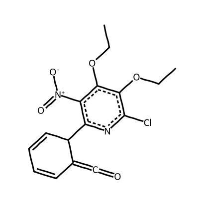 CCOc1c(Cl)nc(C2C=CC=CC2=C=O)c([N+](=O)[O-])c1OCC